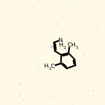 Cc1cccc(C)c1/C=C\N